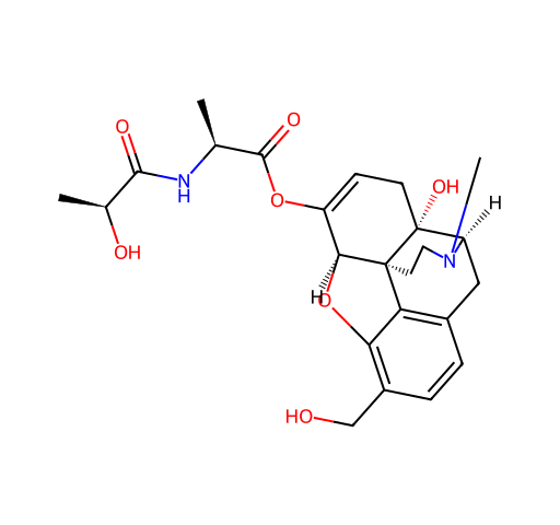 C[C@H](O)C(=O)N[C@@H](C)C(=O)OC1=CC[C@@]2(O)[C@H]3Cc4ccc(CO)c5c4[C@@]2(CCN3C)[C@H]1O5